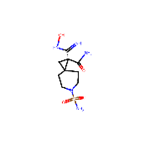 N=C(NO)[C@@]1(C(N)=O)CC12CCN(S(N)(=O)=O)CC2